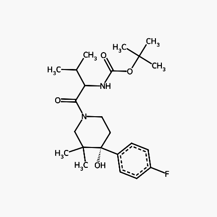 CC(C)C(NC(=O)OC(C)(C)C)C(=O)N1CC[C@@](O)(c2ccc(F)cc2)C(C)(C)C1